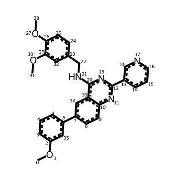 COc1cccc(-c2ccc3nc(-c4cccnc4)nc(NCc4ccc(OC)c(OC)c4)c3c2)c1